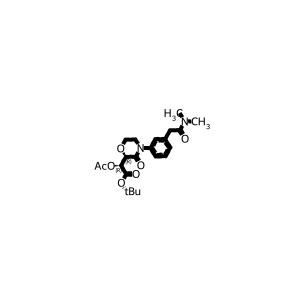 CC(=O)O[C@@H](C(=O)OC(C)(C)C)[C@H]1OCCN(c2cccc(CC(=O)N(C)C)c2)C1=O